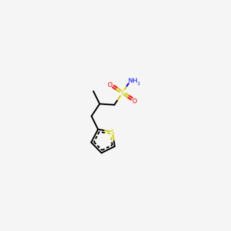 CC(Cc1cccs1)CS(N)(=O)=O